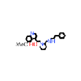 COc1ccc2nccc(C(O)CN3CCCCC3CNCC=Cc3ccccc3)c2c1